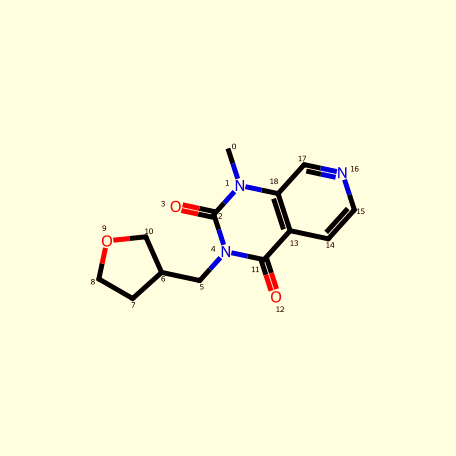 Cn1c(=O)n(CC2CCOC2)c(=O)c2ccncc21